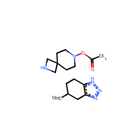 O=C(ON1CCC2(CC1)CNC2)C(F)(F)F.O=CC1CCc2[nH]nnc2C1